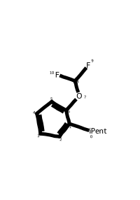 CCCC(C)c1ccccc1OC(F)F